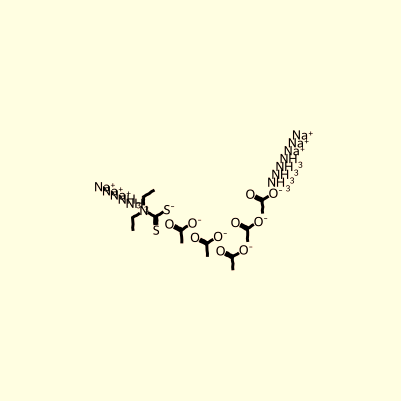 CC(=O)[O-].CC(=O)[O-].CC(=O)[O-].CC(=O)[O-].CC(=O)[O-].CCN(CC)C(=S)[S-].N.N.N.N.N.N.[Na+].[Na+].[Na+].[Na+].[Na+].[Na+]